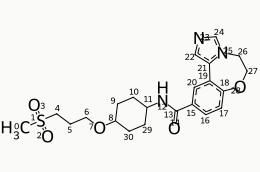 CS(=O)(=O)CCCOC1CCC(NC(=O)c2ccc3c(c2)-c2cncn2CCO3)CC1